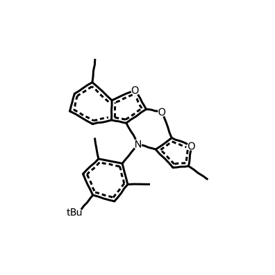 Cc1cc2c(o1)Oc1oc3c(C)cccc3c1N2c1c(C)cc(C(C)(C)C)cc1C